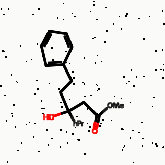 CCCC(O)(CCc1ccccc1)CC(=O)OC